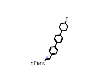 CCCCC/C=C/c1ccc(-c2ccc(C3CCC(F)CC3)cc2)cc1